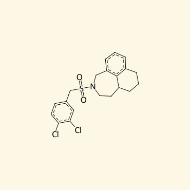 O=S(=O)(Cc1ccc(Cl)c(Cl)c1)N1CCC2CCCc3cccc(c32)C1